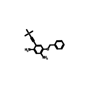 C[Si](C)(C)C#Cc1cc(OCc2ccccc2)c(N)cc1N